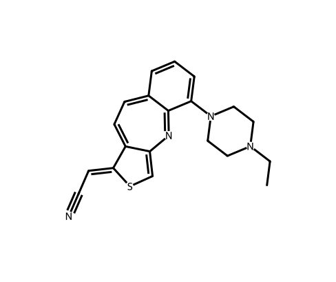 CCN1CCN(c2cccc3c2=Nc2cs/c(=C\C#N)c2=CC=3)CC1